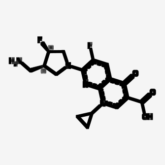 NC[C@@H]1CN(c2nc3c(cc2F)c(=O)c(C(=O)O)cn3C2CC2)C[C@@H]1F